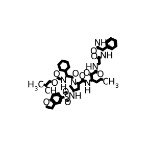 CCCC(NC(=O)C1C[C@@H](NS(=O)(=O)c2ccc3c(c2)CCO3)CN1C(=O)[C@@H](NC(=O)OCC(C)C)C1CCCCC1)C(=O)C(=O)NCC(=O)N[C@H](C(N)=O)c1ccccc1